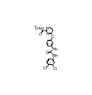 CONC(=O)c1nccc(Oc2cccc(NC(=O)Nc3ccc(Cl)c(Cl)c3)c2)n1